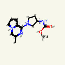 Cc1cn2cccc2c(N2CCC(NC(=O)OC(C)(C)C)C2)n1